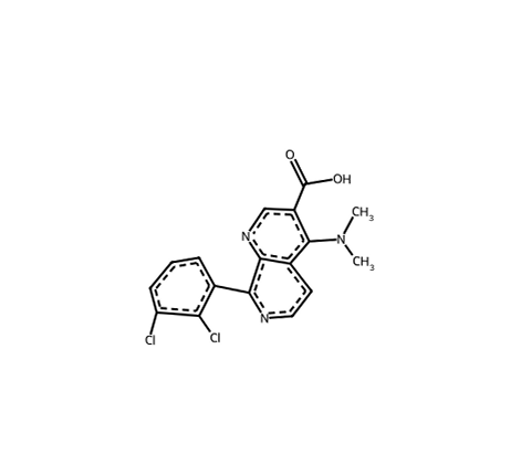 CN(C)c1c(C(=O)O)cnc2c(-c3cccc(Cl)c3Cl)nccc12